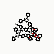 N#Cc1ccc(-c2cc(-n3c4cc(-c5nc(-c6ccccc6)nc(-c6ccccc6)n5)ccc4c4ccc(-c5nc(-c6ccccc6)nc(-c6ccccc6)n5)cc43)c(C#N)c(-n3c4cc(-c5nc(-c6ccccc6)nc(-c6ccccc6)n5)ccc4c4ccc(-c5nc(-c6ccccc6)nc(-c6ccccc6)n5)cc43)c2)c(C(F)(F)F)c1